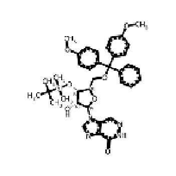 COc1ccc(C(OC[C@H]2O[C@@H](n3cnc4c(=O)[nH]ncc43)[C@H](O)[C@@H]2O[Si](C)(C)C(C)(C)C)(c2ccccc2)c2ccc(OC)cc2)cc1